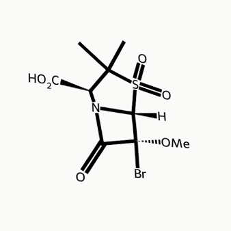 CO[C@]1(Br)C(=O)N2[C@@H](C(=O)O)C(C)(C)S(=O)(=O)[C@@H]21